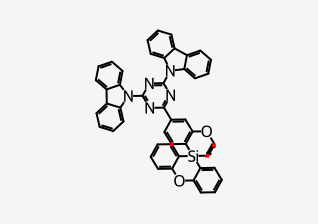 c1ccc2c(c1)Oc1ccccc1[Si]21c2ccccc2Oc2cc(-c3nc(-n4c5ccccc5c5ccccc54)nc(-n4c5ccccc5c5ccccc54)n3)ccc21